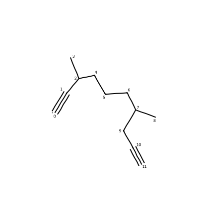 [C]#CC(C)CCCC(C)CC#C